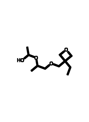 CCC1(COCC(C)OC(C)O)COC1